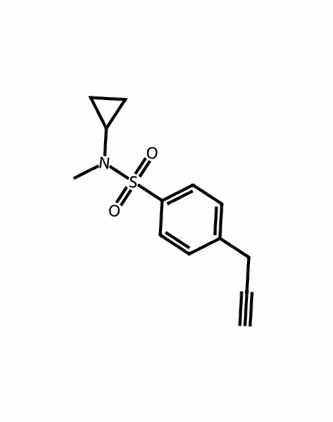 C#CCc1ccc(S(=O)(=O)N(C)C2CC2)cc1